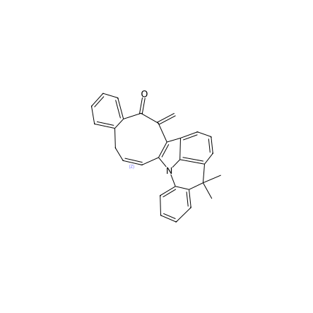 C=C1C(=O)c2ccccc2C/C=C\c2c1c1cccc3c1n2-c1ccccc1C3(C)C